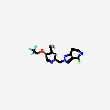 Cc1cc(Cn2cc3c(Cl)nccc3n2)ncc1OCC(F)(F)F